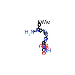 COc1ccc(-c2cn(CCCN)c3ccc(CN4CCN(CC5CCN(c6ccc7c(c6)C(=O)N(C6CCC(=O)NC6=O)C7=O)CC5)CC4)cc23)cc1